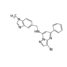 Cn1cnc2cc(CNc3cc(-c4ccccc4)nc4c(Br)cnn34)ccc21